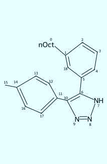 CCCCCCCCc1cccc(-c2[nH]nnc2-c2ccc(C)cc2)c1